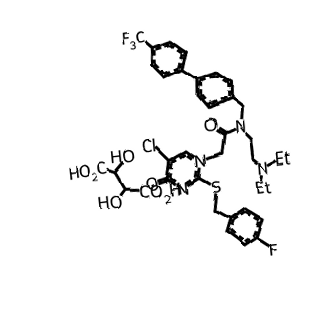 CCN(CC)CCN(Cc1ccc(-c2ccc(C(F)(F)F)cc2)cc1)C(=O)Cn1cc(Cl)c(=O)nc1SCc1ccc(F)cc1.O=C(O)C(O)C(O)C(=O)O